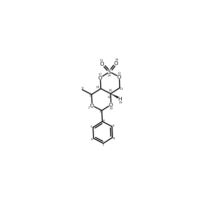 CC1OC(c2ccccc2)O[C@H]2COS(=O)(=O)OC12